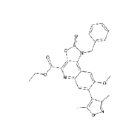 CCOC(=O)c1nc2cc(-c3c(C)noc3C)c(OC)cc2c2c1oc(=O)n2Cc1ccccc1